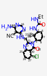 CCNC(=O)Nc1cccc(-n2c([C@@H](Nc3ncnc(N)c3C#N)[C@@H](C)CC)nc3cccc(Cl)c3c2=O)c1